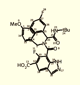 COc1ccc(CN(C(=O)c2c(F)c(C(=O)O)cc3cn[nH]c23)C(C(=O)NC(C)(C)C)c2cc(F)ccc2Cl)cc1